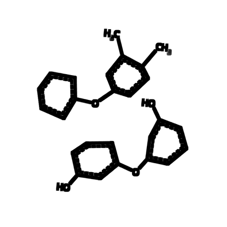 Cc1ccc(Oc2ccccc2)cc1C.Oc1cccc(Oc2cccc(O)c2)c1